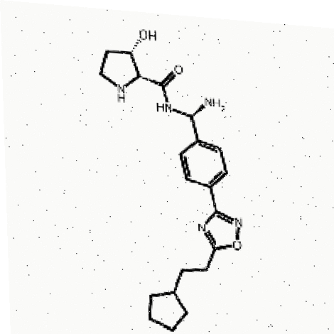 N[C@H](NC(=O)[C@H]1NCC[C@@H]1O)c1ccc(-c2noc(CCC3CCCC3)n2)cc1